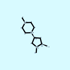 CN1CCN([C@H]2C[C@@H](I)N(C)C2)CC1